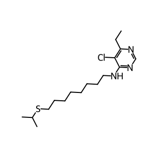 CCc1ncnc(NCCCCCCCCSC(C)C)c1Cl